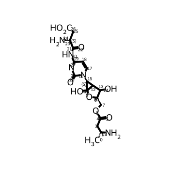 C[C@@H](N)CC(=O)OC[C@H]1OC2(O)C(C1O)[C@@H]2n1ccc(NC(=O)[C@@H](N)CC(=O)O)nc1=O